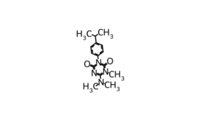 CC(C)c1ccc(-n2c(=O)nc(N(C)C)n(C)c2=O)cc1